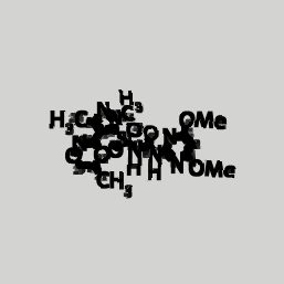 COc1cc(OC)nc(NC(=O)NS(=O)(=O)c2c(C3=NOCC(C)O3)c(C)nn2C)n1